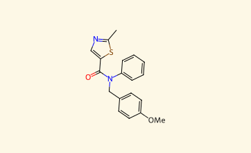 COc1ccc(CN(C(=O)c2cnc(C)s2)c2ccccc2)cc1